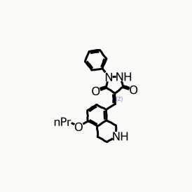 CCCOc1ccc(/C=C2/C(=O)NN(c3ccccc3)C2=O)c2c1CCNC2